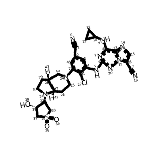 N#Cc1cc(Nc2nc(NC3CC3)c3ncc(C#N)n3n2)c(Cl)c(N2CC[C@H]3[C@H](CCN3[C@H]3CS(=O)(=O)C[C@@H]3O)C2)c1